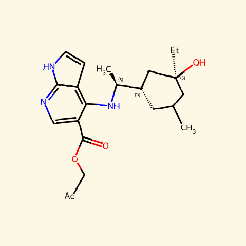 CC[C@]1(O)CC(C)C[C@H]([C@H](C)Nc2c(C(=O)OCC(C)=O)cnc3[nH]ccc23)C1